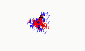 CC(C)CC(N)C(=O)N(C(=O)C(N)CCC(=O)O)C(C(=O)O)(C(=O)C(N)CCC(N)=O)C(CC(=O)O)(C(=O)C(N)CCCCN)C(=O)C(N)C(C)O